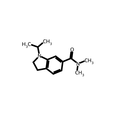 CC(C)N1CCc2ccc(C(=O)N(C)C)cc21